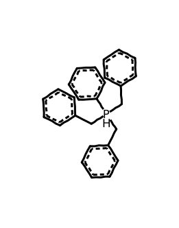 c1ccc(C[PH](Cc2ccccc2)(Cc2ccccc2)c2ccccc2)cc1